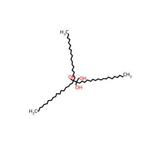 CCCCCCCCCCCCCCCCCCC(CO)(CO)C(CO)(CCCCCCCCCCCCCCCCCC)CCCCCCCCCCCCCCCCCC